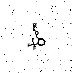 COSOCc1ccccc1C(F)(F)F